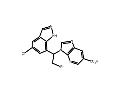 CC(C)CC(c1cc(Cl)cc2cn[nH]c12)n1cnc2cc(C(=O)O)cnc21